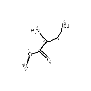 CCOC(=O)C(N)CC(C)(C)C